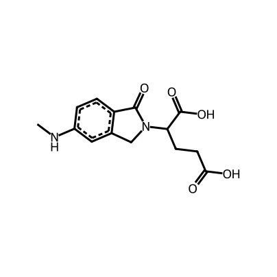 CNc1ccc2c(c1)CN(C(CCC(=O)O)C(=O)O)C2=O